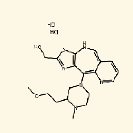 COCCC1CN(C2=c3ncccc3=CNc3sc(CO)nc32)CCN1C.Cl.Cl